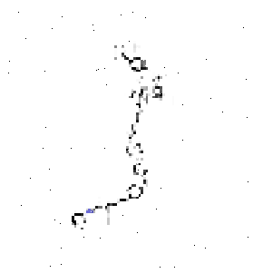 Cc1ncsc1-c1ccc(CNC(=O)[C@@H]2C[C@@H](O)CN2C(=O)[C@@H](NC(=O)CCCCCC(=O)N2CCN(c3ccc(C(=O)N4CCC(CCCCNC(=O)/C=C/c5cccnc5)CC4)cn3)CC2)C(C)(C)C)cc1